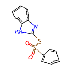 O=S(=O)(Sc1nc2ccccc2[nH]1)c1ccccc1